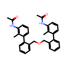 CC(=O)Nc1cccc(-c2ccccc2COCc2ccccc2-c2cccc(NC(C)=O)c2C)c1C